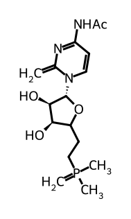 C=C1N=C(NC(C)=O)C=CN1[C@@H]1OC(CCP(=C)(C)C)[C@@H](O)[C@H]1O